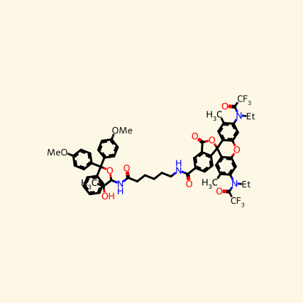 CCN(C(=O)C(F)(F)F)c1cc2c(cc1C)C1(OC(=O)c3cc(C(=O)NCCCCCC(=O)NC(OC(c4ccccc4)(c4ccc(OC)cc4)c4ccc(OC)cc4)C(C)O)ccc31)c1cc(C)c(N(CC)C(=O)C(F)(F)F)cc1O2